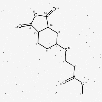 COC(=O)CCSC1CCC2C(=O)OC(=O)C2C1